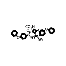 CCCN(C(=O)[C@@H]1[C@H](C(=O)O)[C@@H](C(=O)O)[C@H]1C(=O)N(CCC)c1ccc(Oc2ccccc2)cc1)c1ccc(Oc2ccccc2)cc1